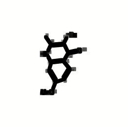 CCCCc1c(C)[nH]c2cc(OC)ccc2c1=O